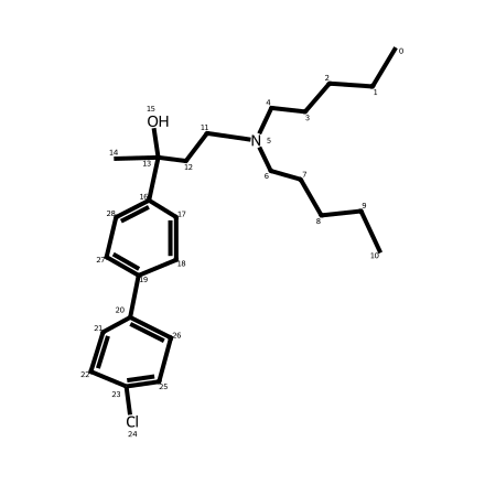 CCCCCN(CCCCC)CCC(C)(O)c1ccc(-c2ccc(Cl)cc2)cc1